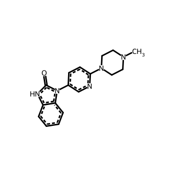 CN1CCN(c2ccc(-n3c(=O)[nH]c4ccccc43)cn2)CC1